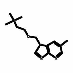 Cc1cnc2ncn(COCC[Si](C)(C)C)c2c1